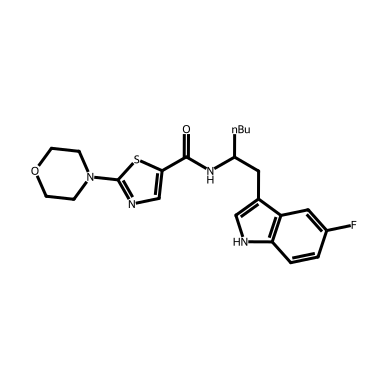 CCCCC(Cc1c[nH]c2ccc(F)cc12)NC(=O)c1cnc(N2CCOCC2)s1